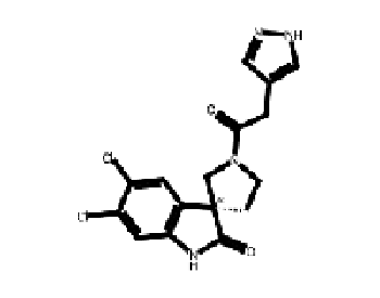 O=C(Cc1cn[nH]c1)N1CC[C@]2(C1)C(=O)Nc1cc(Cl)c(Cl)cc12